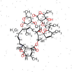 CO[C@H]1CC(O[C@H]2[C@H](C)OC(O[C@@H]3/C(C)=C/C[C@H]4C[C@@H](C[C@]5(C=C[C@H](C)C(C(C)C)O5)O4)OC(=O)[C@@H]4C=C(C)[C@H]5O[C@]56OC/C(=C\C=C\[C@@H]3C)[C@]46C)C[C@@H]2OC)O[C@@H](C)[C@H]1O